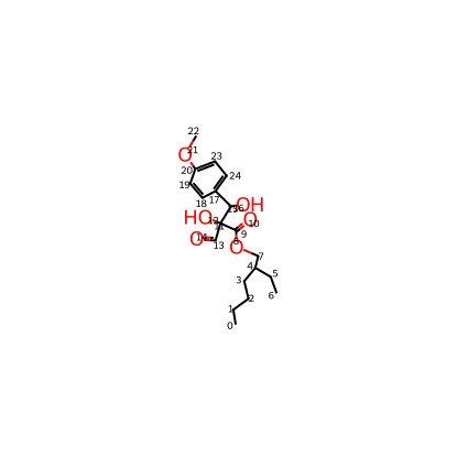 CCCCC(CC)COC(=O)C(O)(C=O)C(O)c1ccc(OC)cc1